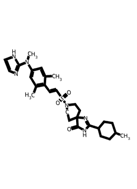 Cc1cc(N(C)c2ncc[nH]2)cc(C)c1C=CS(=O)(=O)N1CCC2(CC1)N=C(C1CCC(C)CC1)NC2=O